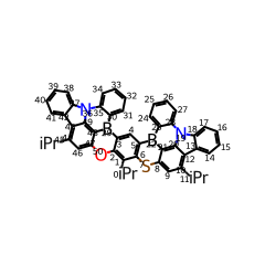 CC(C)c1c2c(cc3c1Sc1cc(C(C)C)c4c5ccccc5n5c4c1B3c1ccccc1-5)B1c3ccccc3-n3c4ccccc4c4c(C(C)C)cc(c1c43)O2